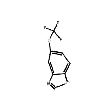 FC(F)(F)Oc1ccc2o[c]nc2c1